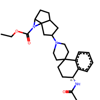 CCOC(=O)N1C2CCC3CC(N4CCC5(CC[C@@H](NC(C)=O)c6ccccc65)CC4)CC321